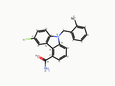 N#Cc1ccccc1Cn1c2ccc(F)[c]c2c2c(C(N)=O)cccc21